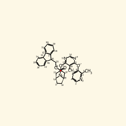 Cc1ncccc1Oc1ncnc(OC2CC3CCC(C2)N3C(=O)OCC2c3ccccc3-c3ccccc32)c1C